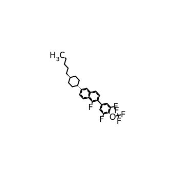 CCCCC[C@H]1CC[C@H](c2ccc3c(F)c(-c4cc(F)c(OC(F)(F)F)c(F)c4)ccc3c2)CC1